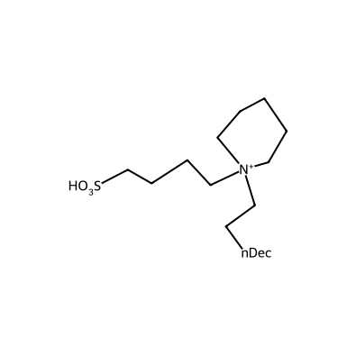 CCCCCCCCCCCC[N+]1(CCCCS(=O)(=O)O)CCCCC1